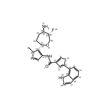 Cn1ncc(NC(=O)c2csc(-c3cccc4cn[nH]c34)n2)c1[C@@H]1CC[C@@H](N)[C@H](F)CO1